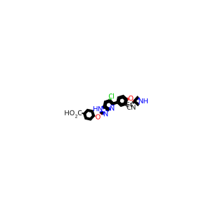 CCC1(Oc2ccc(-c3nc4nc(O[C@H]5CC[C@H](C(=O)O)CC5)[nH]c4cc3Cl)cc2C#N)CNC1